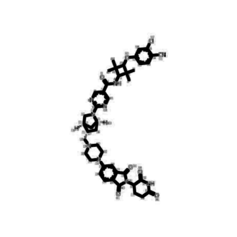 CC1(C)C(NC(=O)c2cnc(N3C[C@H]4C[C@@H]3C[C@@H]4CN3CCN(c4ccc5c(c4)C(=O)N(C4CCC(=O)NC4=O)C5=O)CC3)nc2)C(C)(C)C1Oc1ccc(C#N)c(Cl)c1